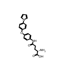 N[C@@H](CCC(=O)Nc1ccc(Oc2ccc(-n3cccc3)cc2)cc1)C(=O)O